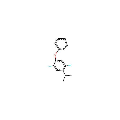 CC(C)c1cc(F)c(Oc2ccccc2)cc1F